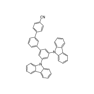 N#Cc1ccc(-c2cccc(-c3cc(-n4c5ccccc5c5ccccc54)cc(-n4c5ccccc5c5ccccc54)c3)c2)cc1